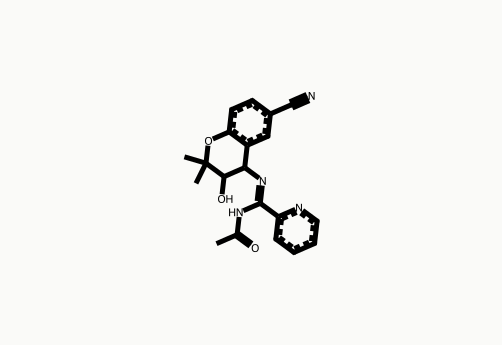 CC(=O)NC(=NC1c2cc(C#N)ccc2OC(C)(C)C1O)c1ccccn1